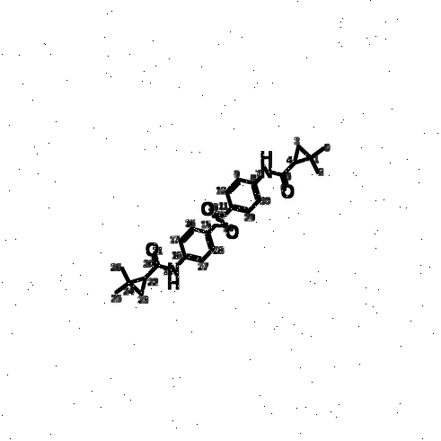 CC1(C)CC1C(=O)Nc1ccc(S(=O)(=O)c2ccc(NC(=O)C3CC3(C)C)cc2)cc1